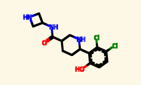 O=C(NC1CNC1)C1CCC(c2c(O)ccc(Cl)c2Cl)NC1